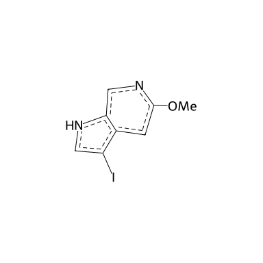 COc1cc2c(I)c[nH]c2cn1